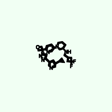 FC1(F)CC(CN[C@@H]2CCCN(c3ccc(C4(n5cc(-c6cncc(C7CC7)c6)nn5)COC4)nc3)C2)C1